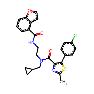 Cc1nc(C(=O)N(CCNC(=O)c2cccc3occc23)CC2CC2)c(-c2ccc(Cl)cc2)s1